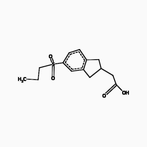 CCCS(=O)(=O)c1ccc2c(c1)CC(CC(=O)O)C2